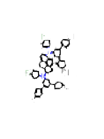 Cc1ccc(-c2cc(-c3ccc(C)cc3)cc(N(c3ccc(F)cc3)c3ccc4ccc5c(N(c6ccc(F)cc6)c6cc(-c7ccc(C)cc7)cc(-c7ccc(C)cc7)c6)ccc6ccc3c4c65)c2)cc1